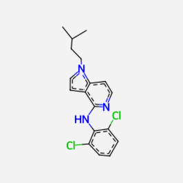 CC(C)CCn1ccc2c(Nc3c(Cl)cccc3Cl)nccc21